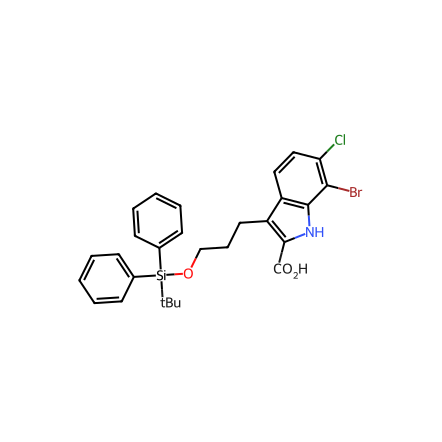 CC(C)(C)[Si](OCCCc1c(C(=O)O)[nH]c2c(Br)c(Cl)ccc12)(c1ccccc1)c1ccccc1